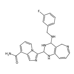 NC(=O)c1cccn2c(C3NC4=C(CN=CC=C4)C(NCc4cccc(F)c4)N3)ncc12